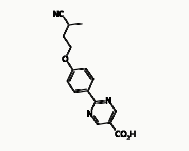 CC(C#N)CCOc1ccc(-c2ncc(C(=O)O)cn2)cc1